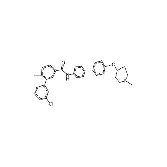 Cc1ccc(C(=O)Nc2ccc(-c3ccc(OC4CCN(C)CC4)cc3)cc2)cc1-c1cccc(Cl)c1